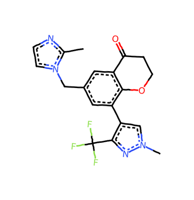 Cc1nccn1Cc1cc2c(c(-c3cn(C)nc3C(F)(F)F)c1)OCCC2=O